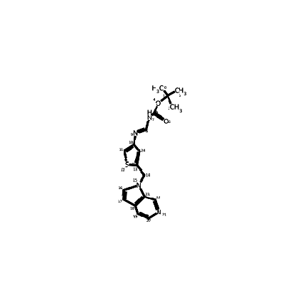 CC(C)(C)OC(=O)NC=Nc1csc(Cn2ccc3ccncc32)c1